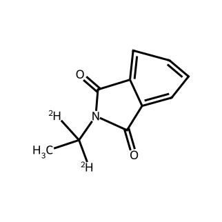 [2H]C([2H])(C)N1C(=O)c2ccccc2C1=O